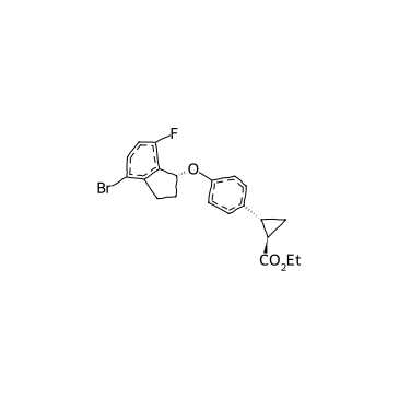 CCOC(=O)[C@@H]1C[C@H]1c1ccc(O[C@@H]2CCc3c(Br)ccc(F)c32)cc1